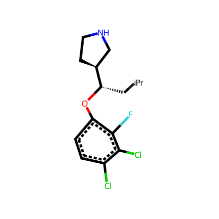 CC(C)C[C@H](Oc1ccc(Cl)c(Cl)c1F)[C@H]1CCNC1